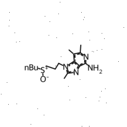 CCCC[S+]([O-])CCCn1c(C)nc2c(N)nc(C)c(C)c21